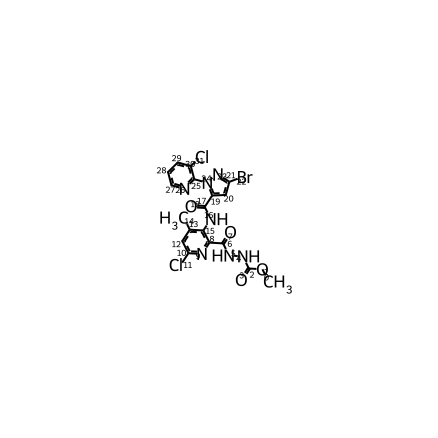 COC(=O)NNC(=O)c1nc(Cl)cc(C)c1NC(=O)c1cc(Br)nn1-c1ncccc1Cl